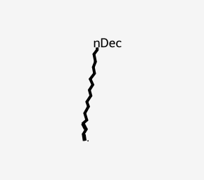 [CH]=CC=CCCCCCCCCCCCCCCCCCCCCCCC